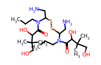 CCCN(C(=O)C(O)C(C)(C)CO)C(CN)SSC(CN)N(CCC)C(=O)C(O)C(C)(C)CO